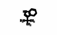 CC(C)(C)c1c[nH]c2c1CCC=C2